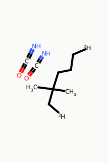 N=C=O.N=C=O.[2H]CCCC(C)(C)C[2H]